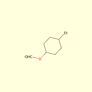 CCC1CCC(O[C]=O)CC1